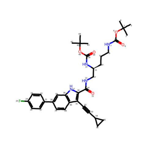 CC(C)(C)OC(=O)NCCC[C@@H](CNC(=O)c1[nH]c2cc(-c3ccc(F)cc3)ccc2c1C#CC1CC1)NC(=O)OC(C)(C)C